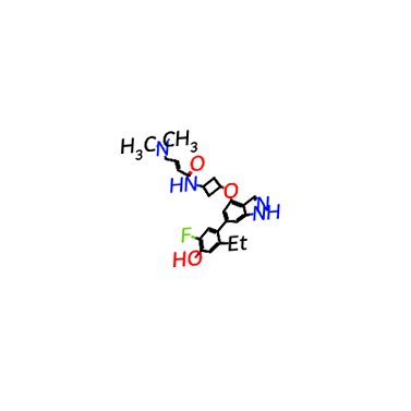 CCc1cc(O)c(F)cc1-c1cc(OC2CC(NC(=O)/C=C/CN(C)C)C2)c2cn[nH]c2c1